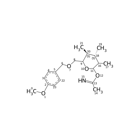 COc1ccc(COCC2OC(OC(C)=N)C(C)[C@@H](C)[C@@H]2C)cc1